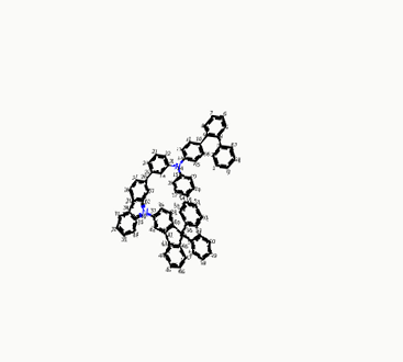 c1ccc(-c2ccccc2-c2ccc(N(c3ccccc3)c3cccc(-c4ccc5c6ccccc6n(-c6ccc7c(c6)-c6ccccc6C7(c6ccccc6)c6ccccc6)c5c4)c3)cc2)cc1